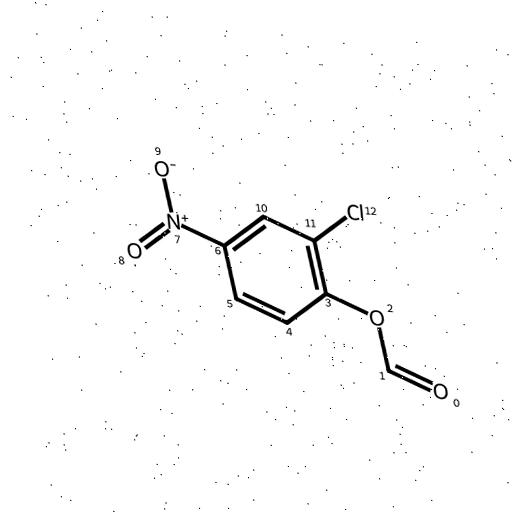 O=COc1ccc([N+](=O)[O-])cc1Cl